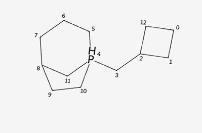 C1CC(C[PH]23CCCC(CC2)C3)C1